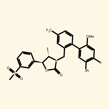 COc1cc(F)c(C(C)C)cc1-c1ccc(C(F)(F)F)cc1CN1C(=O)O[C@@H](c2cccc(S(C)(=O)=O)c2)[C@@H]1C